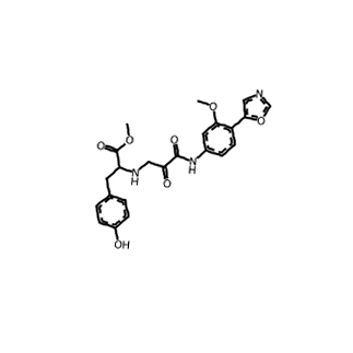 COC(=O)C(Cc1ccc(O)cc1)NCC(=O)C(=O)Nc1ccc(-c2cnco2)c(OC)c1